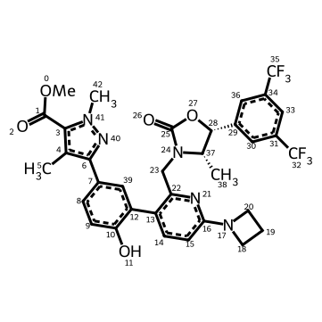 COC(=O)c1c(C)c(-c2ccc(O)c(-c3ccc(N4CCC4)nc3CN3C(=O)O[C@H](c4cc(C(F)(F)F)cc(C(F)(F)F)c4)[C@@H]3C)c2)nn1C